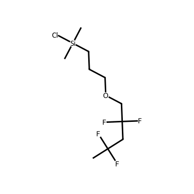 CC(F)(F)CC(F)(F)COCCC[Si](C)(C)Cl